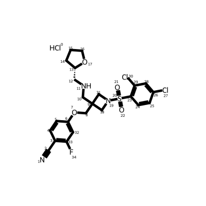 Cl.N#Cc1ccc(OCC2(CNC[C@@H]3CCCO3)CN(S(=O)(=O)c3ccc(Cl)cc3Cl)C2)cc1F